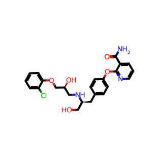 NC(=O)c1cccnc1Oc1ccc(C[C@@H](CO)NC[C@H](O)COc2ccccc2Cl)cc1